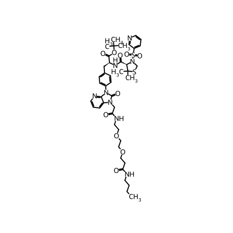 CCCCNC(=O)CCOCCOCCNC(=O)Cn1c(=O)n(-c2ccc(C[C@H](NC(=O)[C@H]3N(S(=O)(=O)c4cccnc4)CSC3(C)C)C(=O)OC(C)(C)C)cc2)c2ncccc21